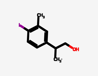 [CH2]C(CO)c1ccc(I)c(C)c1